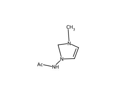 [CH2]C(=O)NN1C=CN(C)C1